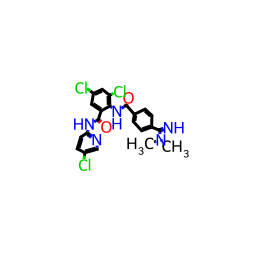 CN(C)C(=N)c1ccc(C(=O)Nc2c(Cl)cc(Cl)cc2C(=O)Nc2ccc(Cl)cn2)cc1